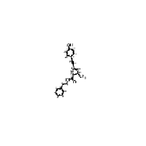 O=C(NCCc1ccccc1)C1SC(C#Cc2ccc(O)cc2)=NC1C(F)(F)F